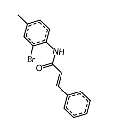 Cc1ccc(NC(=O)C=Cc2ccccc2)c(Br)c1